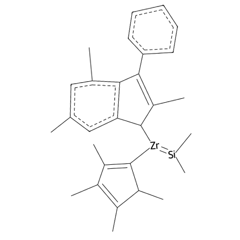 CC1=C(C)C(C)[C]([Zr]([CH]2C(C)=C(c3ccccc3)c3c(C)cc(C)cc32)=[Si](C)C)=C1C